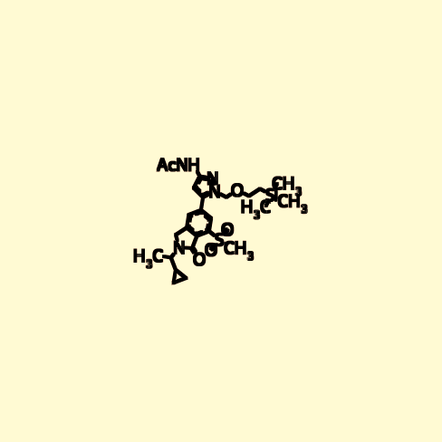 CC(=O)Nc1cc(-c2cc3c(c(S(C)(=O)=O)c2)C(=O)N(C(C)C2CC2)C3)n(COCC[Si](C)(C)C)n1